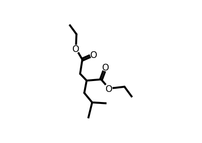 CCOC(=O)CC(CC(C)C)C(=O)OCC